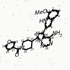 COc1cccc2cc(-c3nc(C4CCN(C(=O)c5ccoc5)CC4)n4ncnc(N)c34)[nH]c12